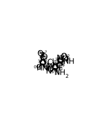 COc1cc(CS(C)(=O)=O)ccc1Nc1ncc2c(N)c(F)c(-c3cnc4c(c3C)NCCO4)c(Cl)c2n1